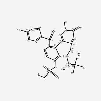 CCS(=O)(=O)Cc1ccc(C(=O)c2ccc(F)cc2)c(-c2cn(C)c(=O)cc2[C@H](C)N[S@@+]([O-])C(C)(C)C)c1